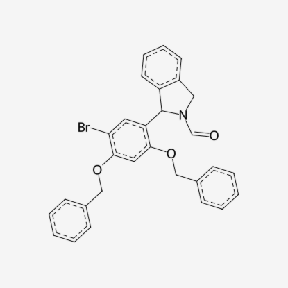 O=CN1Cc2ccccc2C1c1cc(Br)c(OCc2ccccc2)cc1OCc1ccccc1